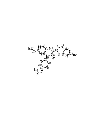 CCOc1ncc2nc(-c3ccc4nn(C(C)=O)cc4c3)c(=O)n(-c3ccc(OC(F)F)cc3)c2n1